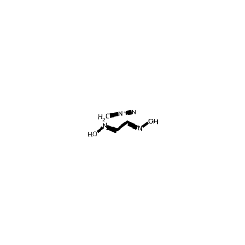 C=[N+]=[N-].O/N=C/C=N/O